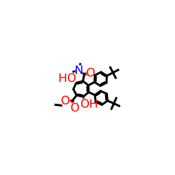 CCOC(=O)C1=C(O)C(c2ccc(C(C)(C)C)cc2)=C(c2ccc(C(C)(C)C)cc2)C(C(=O)N(C)C)=C(O)C1